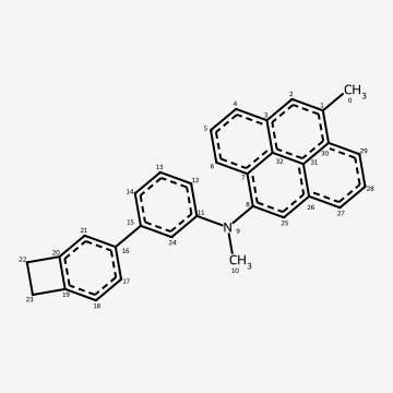 Cc1cc2cccc3c(N(C)c4cccc(-c5ccc6c(c5)CC6)c4)cc4cccc1c4c23